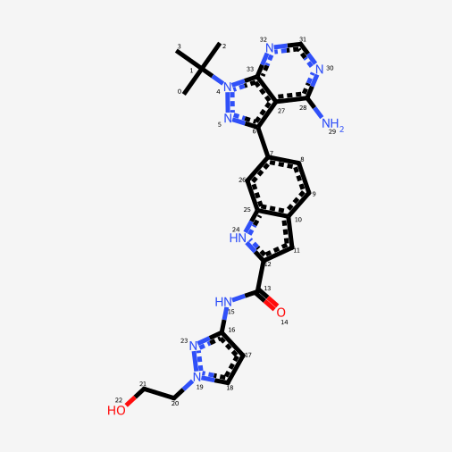 CC(C)(C)n1nc(-c2ccc3cc(C(=O)Nc4ccn(CCO)n4)[nH]c3c2)c2c(N)ncnc21